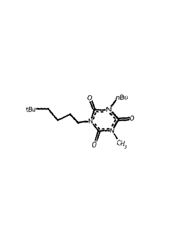 CCCCn1c(=O)n(C)c(=O)n(CCCCC(C)(C)C)c1=O